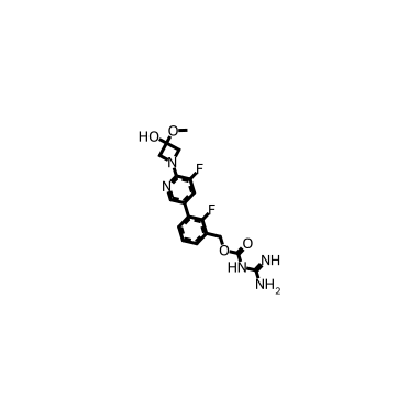 COC1(O)CN(c2ncc(-c3cccc(COC(=O)NC(=N)N)c3F)cc2F)C1